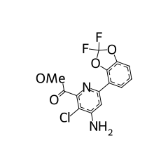 COC(=O)c1nc(-c2cccc3c2OC(F)(F)O3)cc(N)c1Cl